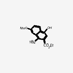 CCCCc1c(C(=O)OCC)cc(O)c2ccc(OC)cc12